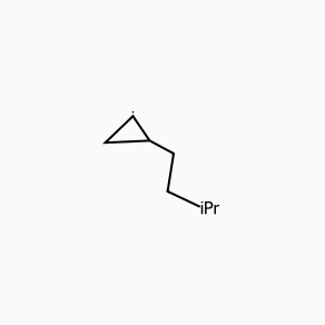 CC(C)CCC1[CH]C1